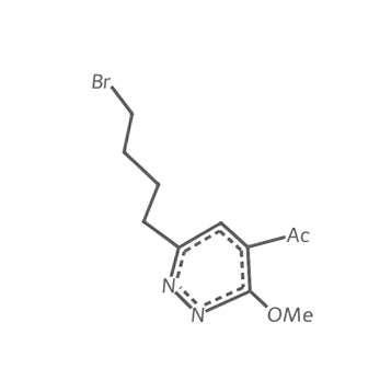 COc1nnc(CCCCBr)cc1C(C)=O